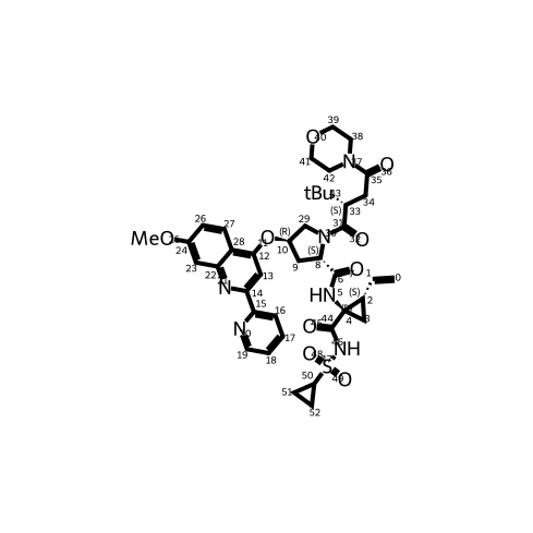 C=C[C@@H]1C[C@]1(NC(=O)[C@@H]1C[C@@H](Oc2cc(-c3ccccn3)nc3cc(OC)ccc23)CN1C(=O)[C@@H](CC(=O)N1CCOCC1)C(C)(C)C)C(=O)NS(=O)(=O)C1CC1